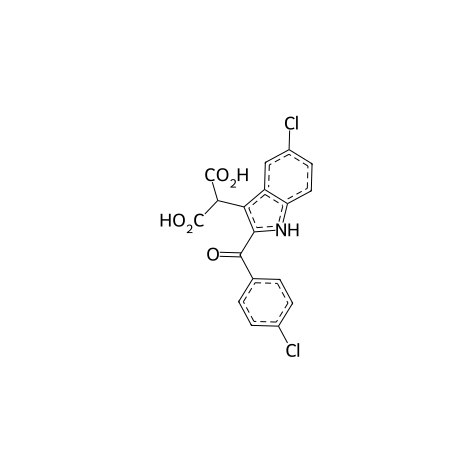 O=C(c1ccc(Cl)cc1)c1[nH]c2ccc(Cl)cc2c1C(C(=O)O)C(=O)O